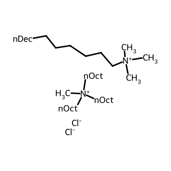 CCCCCCCCCCCCCCCC[N+](C)(C)C.CCCCCCCC[N+](C)(CCCCCCCC)CCCCCCCC.[Cl-].[Cl-]